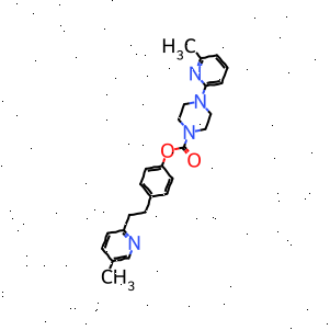 Cc1ccc(CCc2ccc(OC(=O)N3CCN(c4cccc(C)n4)CC3)cc2)nc1